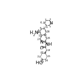 Cc1ccncc1-c1cc(N)c2cnc(NC(=O)C=C3CCC(O)CC3)cc2c1